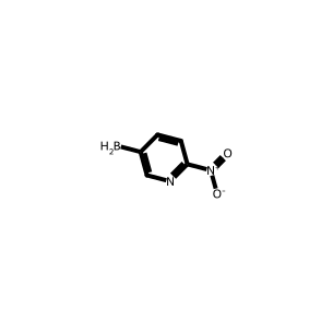 Bc1ccc([N+](=O)[O-])nc1